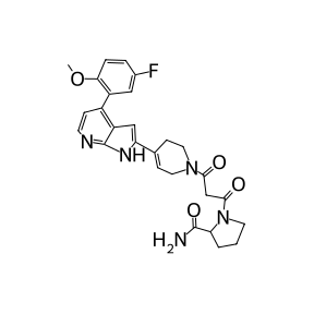 COc1ccc(F)cc1-c1ccnc2[nH]c(C3=CCN(C(=O)CC(=O)N4CCCC4C(N)=O)CC3)cc12